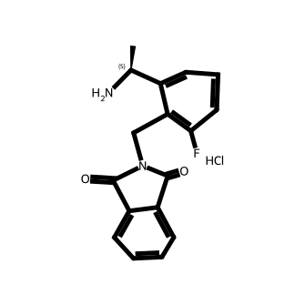 C[C@H](N)c1cccc(F)c1CN1C(=O)c2ccccc2C1=O.Cl